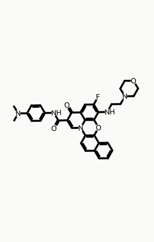 CN(C)c1ccc(NC(=O)c2cn3c4c(c(NCCN5CCOCC5)c(F)cc4c2=O)Oc2c-3ccc3ccccc23)cc1